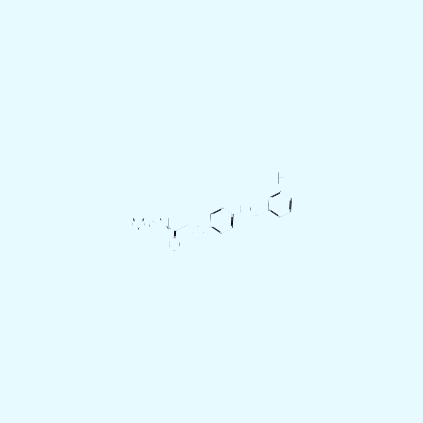 CNC(=O)COc1ccc(OCc2cccc(F)c2)cc1